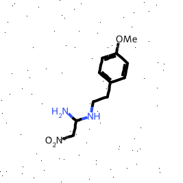 COc1ccc(CCNC(N)C[N+](=O)[O-])cc1